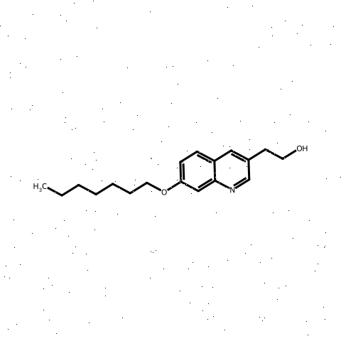 CCCCCCCOc1ccc2cc(CCO)cnc2c1